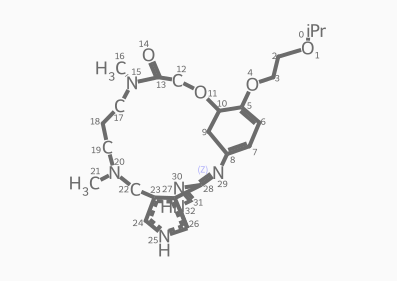 CC(C)OCCOC1=CC=C2CC1OCC(=O)N(C)CCCN(C)Cc1c[nH]c3c1/C(=N/2)N=CN3